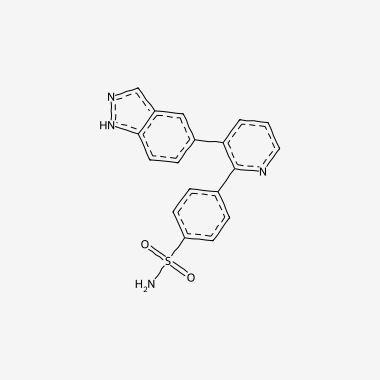 NS(=O)(=O)c1ccc(-c2ncccc2-c2ccc3[nH]ncc3c2)cc1